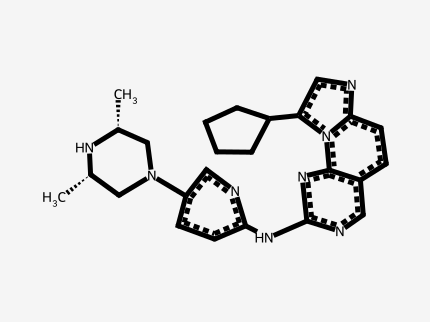 C[C@@H]1CN(c2ccc(Nc3ncc4ccc5ncc(C6CCCC6)n5c4n3)nc2)C[C@H](C)N1